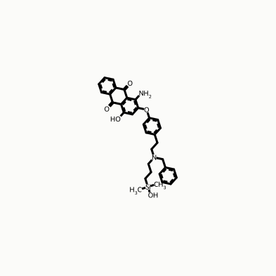 C[Si](C)(O)CCCN(CCc1ccc(Oc2cc(O)c3c(c2N)C(=O)c2ccccc2C3=O)cc1)Cc1ccccc1